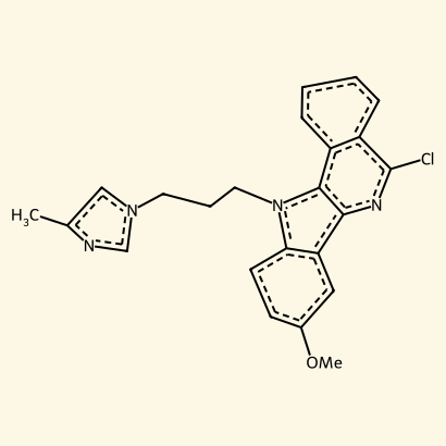 COc1ccc2c(c1)c1nc(Cl)c3ccccc3c1n2CCCn1cnc(C)c1